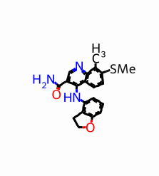 CSc1ccc2c(Nc3cccc4c3CCO4)c(C(N)=O)cnc2c1C